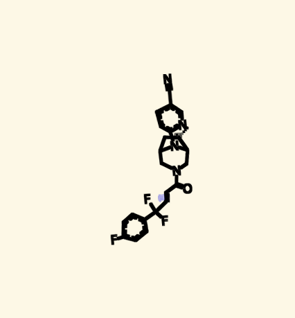 C[C@H]1CC2CN(C(=O)/C=C/C(F)(F)c3ccc(F)cc3)CC1N2c1ccc(C#N)cn1